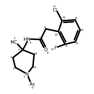 CC(=O)N1CCC(C#N)(NC(=O)Cc2c(F)cccc2Cl)CC1